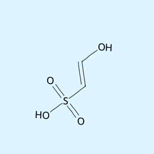 O=S(=O)(O)C=CO